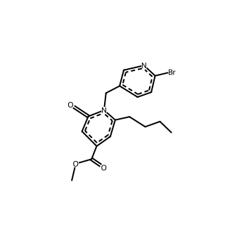 CCCCc1cc(C(=O)OC)cc(=O)n1Cc1ccc(Br)nc1